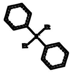 CC[B-](CC)(c1ccccc1)c1ccccc1